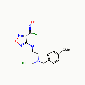 COc1ccc(CN(C)CCNc2nonc2C(Cl)=NO)cc1.Cl